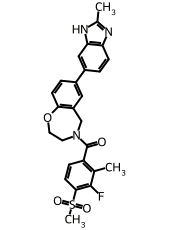 Cc1nc2ccc(-c3ccc4c(c3)CN(C(=O)c3ccc(S(C)(=O)=O)c(F)c3C)CCO4)cc2[nH]1